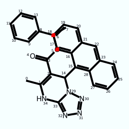 CC1=C(C(=O)OC(C)c2ccccc2)C(c2c3ccccc3cc3ccccc23)n2nnnc2N1